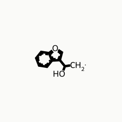 [CH2]C(O)c1coc2ccccc12